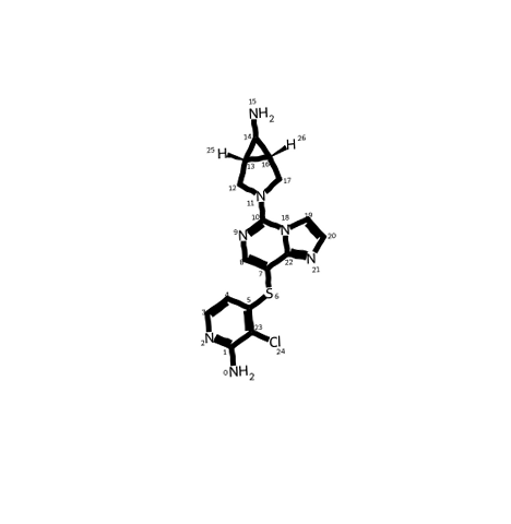 Nc1nccc(Sc2cnc(N3C[C@@H]4C(N)[C@@H]4C3)n3ccnc23)c1Cl